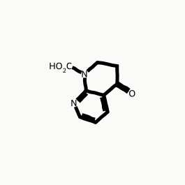 O=C1CCN(C(=O)O)c2ncccc21